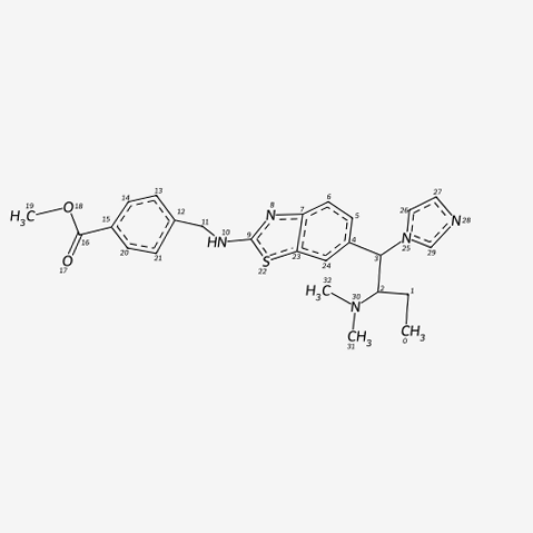 CCC(C(c1ccc2nc(NCc3ccc(C(=O)OC)cc3)sc2c1)n1ccnc1)N(C)C